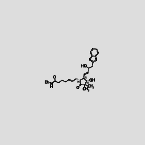 CCNC(=O)CCCC=CC[C@H]1C(=O)C(C)(C)[C@@H](O)[C@@H]1C=CC(O)Cc1cc2ccccc2s1